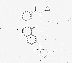 Cc1ccc(C(=O)NC2CC2)cc1-n1cnc2ccc(O[C@@]3(C(C)C)CCNC3)cc2c1=O